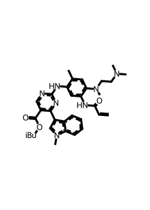 C=CC(=O)Nc1cc(Nc2ncc(C(=O)OC(C)CC)c(-c3cn(C)c4ccccc34)n2)c(C)cc1N(C)CCN(C)C